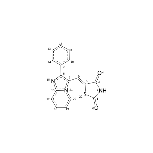 O=C1NC(=O)C(=Cc2c(-c3ccccc3)nc3ccccn23)S1